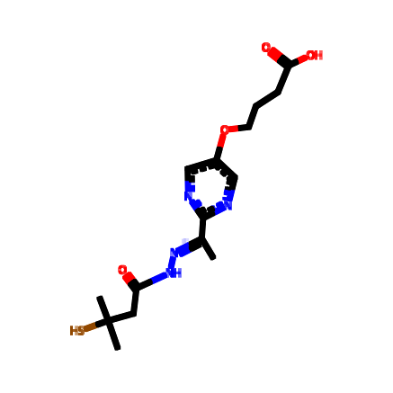 C/C(=N\NC(=O)CC(C)(C)S)c1ncc(OCCCC(=O)O)cn1